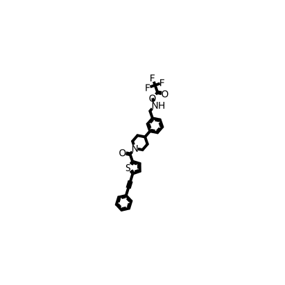 O=C(c1ccc(C#Cc2ccccc2)s1)N1CCC(c2cccc(CNOC(=O)C(F)(F)F)c2)CC1